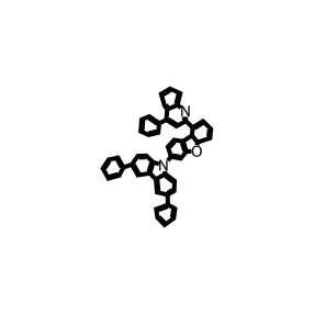 C1=CC2Oc3cc(-n4c5ccc(-c6ccccc6)cc5c5cc(-c6ccccc6)ccc54)ccc3C2C(c2cc(-c3ccccc3)c3ccccc3n2)=C1